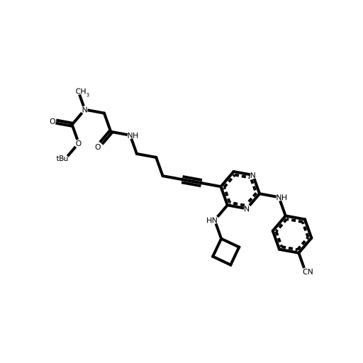 CN(CC(=O)NCCCC#Cc1cnc(Nc2ccc(C#N)cc2)nc1NC1CCC1)C(=O)OC(C)(C)C